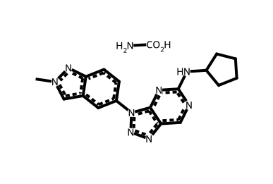 Cn1cc2cc(-n3nnc4cnc(NC5CCCC5)nc43)ccc2n1.NC(=O)O